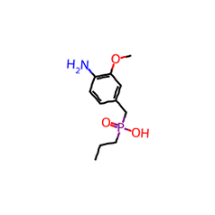 CCCP(=O)(O)Cc1ccc(N)c(OC)c1